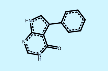 O=c1[nH]cnc2[nH]cc(-c3ccccc3)c12